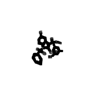 CCOC(=O)c1c(P(=O)(OC)c2cc(C)cc(CC)c2)c2cc(Cl)ccc2n1S(=O)(=O)c1ccccc1